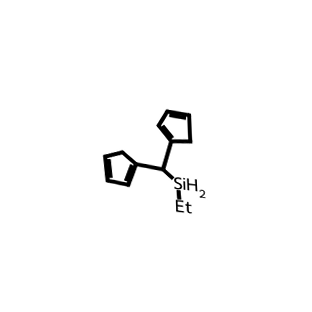 CC[SiH2]C(C1=CC=CC1)C1=CC=CC1